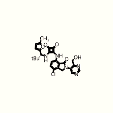 Cc1ccc([C@H](Nc2c(Nc3ccc(Cl)c4c3C(=O)N(c3cncnc3CO)C4)c(=O)c2=O)C(C)(C)C)o1